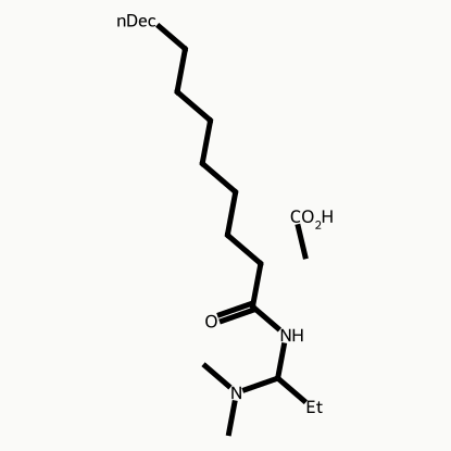 CC(=O)O.CCCCCCCCCCCCCCCCCC(=O)NC(CC)N(C)C